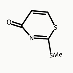 CSc1nc(=O)ccs1